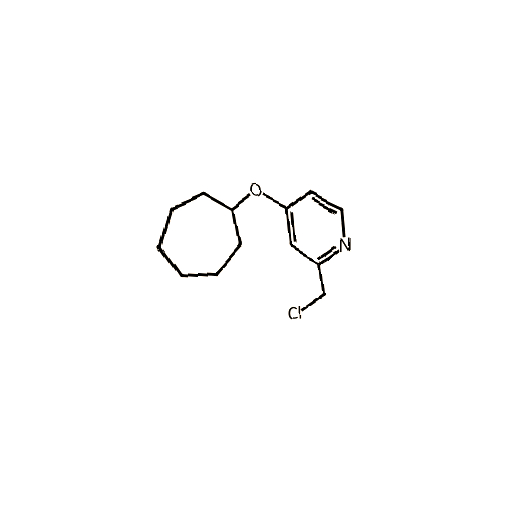 ClCc1cc(OC2CCCCCC2)ccn1